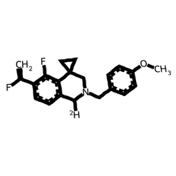 [2H]C1c2ccc(C(=C)F)c(F)c2C2(CC2)CN1Cc1ccc(OC)cc1